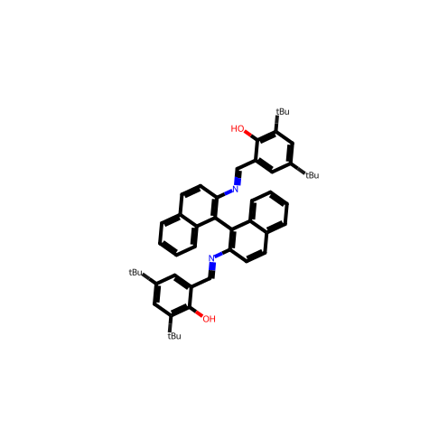 CC(C)(C)c1cc(/C=N/c2ccc3ccccc3c2-c2c(/N=C/c3cc(C(C)(C)C)cc(C(C)(C)C)c3O)ccc3ccccc23)c(O)c(C(C)(C)C)c1